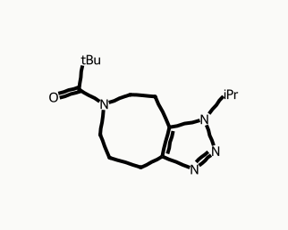 CC(C)n1nnc2c1CCN(C(=O)C(C)(C)C)CCC2